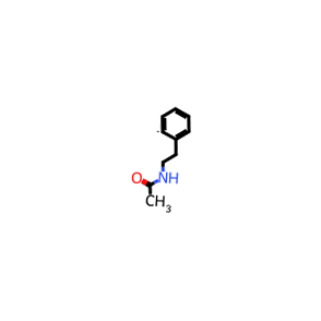 CC(=O)NCCc1[c]cccc1